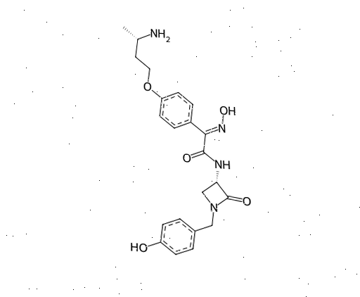 C[C@H](N)CCOc1ccc(/C(=N\O)C(=O)N[C@H]2CN(Cc3ccc(O)cc3)C2=O)cc1